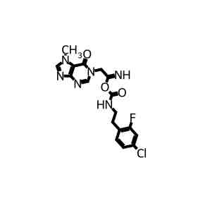 Cn1cnc2ncn(CC(=N)OC(=O)NCCc3ccc(Cl)cc3F)c(=O)c21